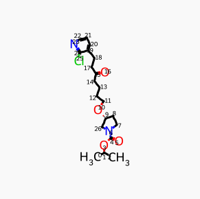 CC(C)OC(=O)N1CC[C@@H](OCCCCC(=O)CCc2cccnc2Cl)C1